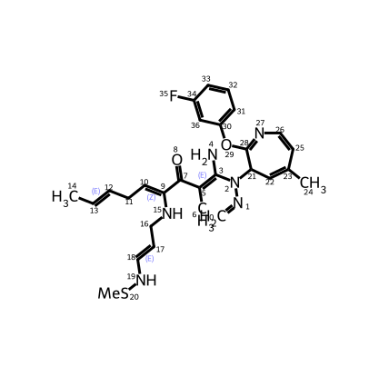 C=NN(/C(N)=C(\C)C(=O)/C(=C/C/C=C/C)NC/C=C/NSC)C1C=C(C)C=CN=C1Oc1cccc(F)c1